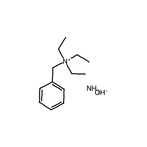 CC[N+](CC)(CC)Cc1ccccc1.N.[OH-]